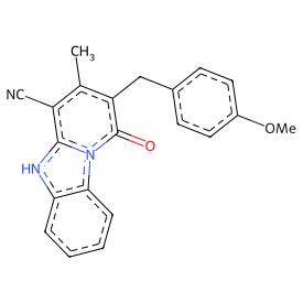 COc1ccc(Cc2c(C)c(C#N)c3[nH]c4ccccc4n3c2=O)cc1